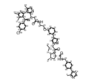 Cc1ncsc1-c1ccc(CNC(=O)[C@@H]2C[C@@H](C)CN2C(=O)[C@H](C(C)C)n2cc(-c3cccc(OCCNC(=O)CC4N=C(c5ccc(Cl)cc5)c5c(sc(C)c5C)-n5c(C)nnc54)c3)cn2)cc1